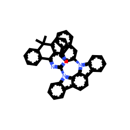 CC1(C)c2ccccc2-c2nc(-n3c4ccccc4c4ccc5c6ccccc6n(-c6ccc7ccccc7c6)c5c43)nc3cccc1c23